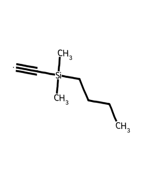 [C]#C[Si](C)(C)CCCC